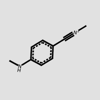 C[N+]#Cc1ccc(NC)cc1